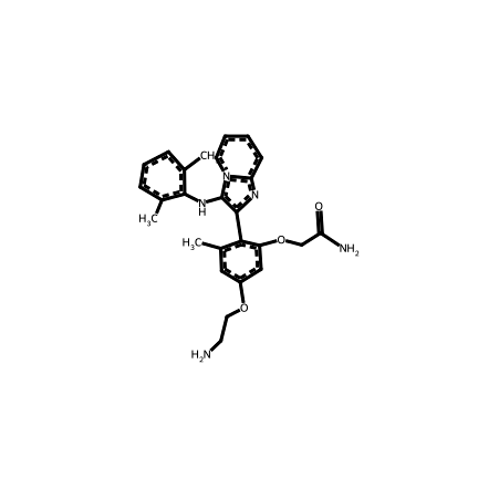 Cc1cccc(C)c1Nc1c(-c2c(C)cc(OCCN)cc2OCC(N)=O)nc2ccccn12